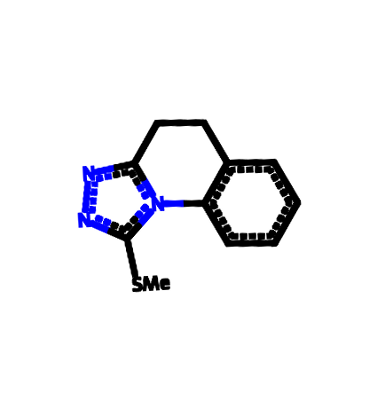 CSc1nnc2n1-c1ccccc1CC2